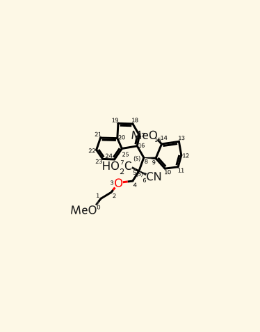 COCCOC[C@](C#N)(C(=O)O)[C@H](c1ccccc1OC)c1cccc2ccccc12